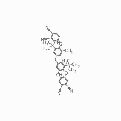 Cc1cc(Cc2cc(C)c(Oc3ccc(C#N)c(C#N)c3)c(C(C)(C)C)c2)cc(C(C)(C)C)c1Oc1ccc(C#N)c(C#N)c1